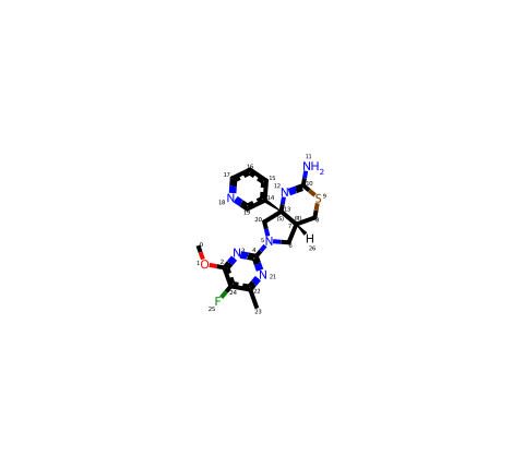 COc1nc(N2C[C@H]3CSC(N)=N[C@@]3(c3cccnc3)C2)nc(C)c1F